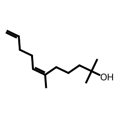 C=CCCC=C(C)CCCC(C)(C)O